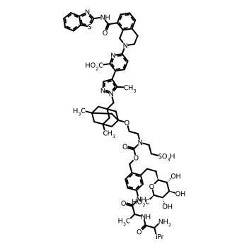 Cc1c(-c2ccc(N3CCc4cccc(C(=O)Nc5nc6ccccc6s5)c4C3)nc2C(=O)O)cnn1CC12CC3(C)CC(C)(C1)CC(OCCN(CCS(=O)(=O)O)C(=O)OCc1ccc(NC(=O)C(C)NC(=O)C(N)C(C)C)cc1CC[C@@H]1O[C@H](C(=O)O)[C@@H](O)[C@H](O)[C@H]1O)(C3)C2